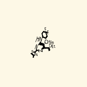 C=C(OCC)c1nc(-c2nc(C)cs2)nc(NC2CCC(F)(F)CC2)c1OC